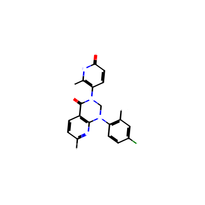 Cc1cc(F)ccc1N1CN(c2ccc(=O)[nH]c2C)C(=O)c2ccc(C(F)(F)F)nc21